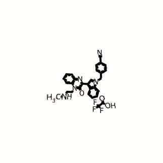 CNCCn1c(=O)c(-c2cn(Cc3ccc(C#N)cc3)c3ccccc23)nc2ccccc21.O=C(O)C(F)(F)F